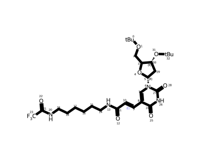 CC(C)(C)OCC1O[C@@H](n2cc(/C=C/C(=O)NCCCCCCNC(=O)C(F)(F)F)c(=O)[nH]c2=O)C[C@H]1OC(C)(C)C